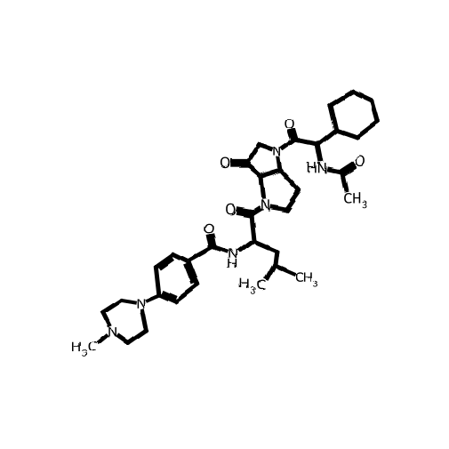 CC(=O)NC(C(=O)N1CC(=O)C2C1CCN2C(=O)C(CC(C)C)NC(=O)c1ccc(N2CCN(C)CC2)cc1)C1CCCCC1